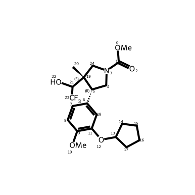 COC(=O)N1C[C@H](c2ccc(OC)c(OC3CCCC3)c2)[C@](C)(C(O)C(F)(F)F)C1